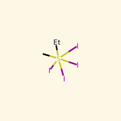 CCS(C)(I)(I)(I)I